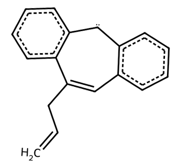 C=CCC1=Cc2ccccc2[C]c2ccccc21